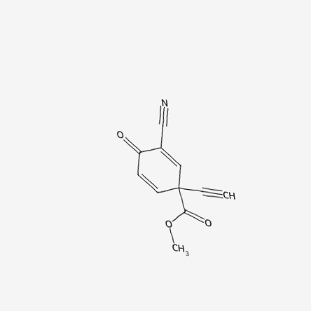 C#CC1(C(=O)OC)C=CC(=O)C(C#N)=C1